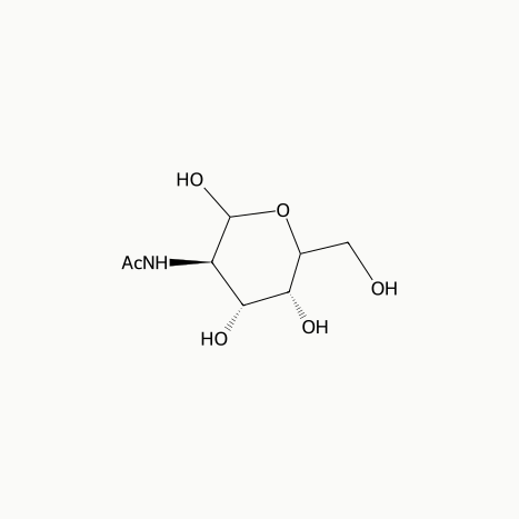 CC(=O)N[C@H]1C(O)OC(CO)[C@H](O)[C@@H]1O